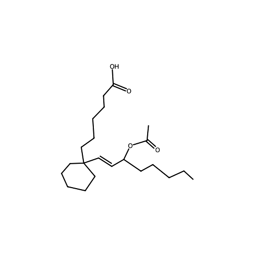 CCCCCC(C=CC1(CCCCCC(=O)O)CCCCC1)OC(C)=O